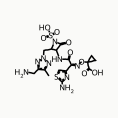 Cc1nn(CC2C(NC(=O)/C(=N\OC3(C(=O)O)CC3)c3csc(N)n3)C(=O)N2S(=O)(=O)O)nc1CN